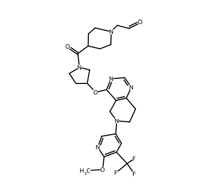 COc1ncc(N2CCc3ncnc(OC4CCN(C(=O)C5CCN(CC=O)CC5)C4)c3C2)cc1C(F)(F)F